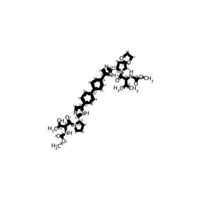 COC(=O)NC(C(=O)N1CCC[C@H]1c1ncc(-c2ccc(-c3ccc(-c4cnc([C@@H]5CC6(CN5C(=O)C(NC(=O)OC)C(C)C)OCCO6)[nH]4)cc3)cc2)[nH]1)C(C)C